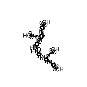 Cc1cc(N=Nc2cc(C)c(NC(=O)Nc3cc(C)c(N=Nc4cc(C)c(N=Nc5ccc(S(=O)(=O)O)cc5)cc4OCCCS(=O)(=O)O)cc3C)cc2C)c(OCCCS(=O)(=O)O)cc1N=Nc1ccc(S(=O)(=O)O)cc1